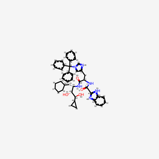 O=C(NC(Cc1cn(C(c2ccccc2)(c2ccccc2)c2ccccc2)cn1)C(=O)N[C@@H](CC1CCCCC1)[C@@H](O)[C@@H](O)C1CC1)c1nc2ccccc2[nH]1